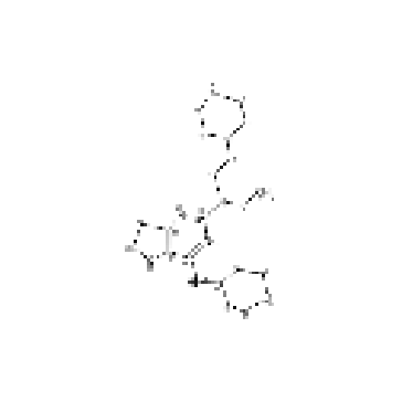 CCN(CCC1CCOCC1)c1nc2c(c(NC3CCOCC3)n1)SCC2